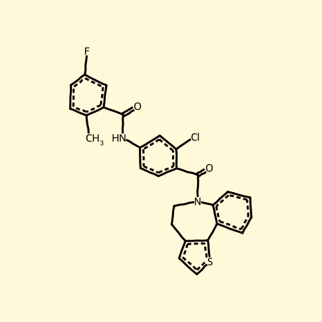 Cc1ccc(F)cc1C(=O)Nc1ccc(C(=O)N2CCc3ccsc3-c3ccccc32)c(Cl)c1